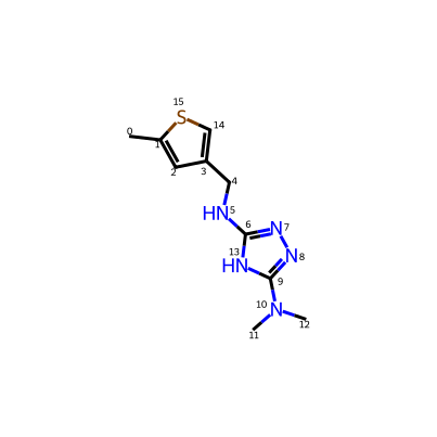 Cc1cc(CNc2nnc(N(C)C)[nH]2)cs1